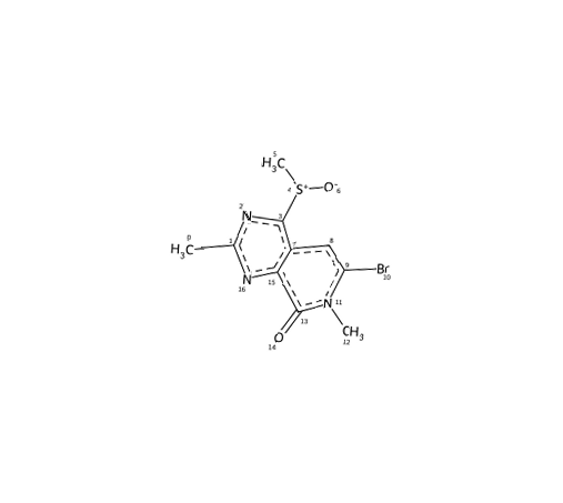 Cc1nc([S+](C)[O-])c2cc(Br)n(C)c(=O)c2n1